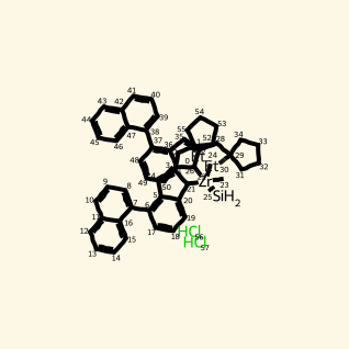 CCC1(CC2=Cc3c(-c4cccc5ccccc45)cccc3[CH]2[Zr]([CH3])([CH3])(=[SiH2])[CH]2C(CC3(CC)CCCC3)=Cc3c(-c4cccc5ccccc45)cccc32)CCCC1.Cl.Cl